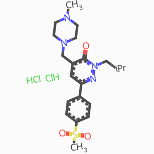 CC(C)Cn1nc(-c2ccc(S(C)(=O)=O)cc2)cc(CN2CCN(C)CC2)c1=O.Cl.Cl